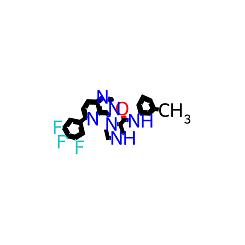 Cc1cccc(NC(=O)C2CNCCN2c2ncnc3ccc(-c4cc(F)c(F)c(F)c4)nc23)c1